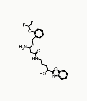 NC(CC(=O)NCCCC(O)c1nc2ccccc2o1)SCc1ccccc1OC(F)F